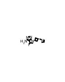 Nc1ncnc2c1C(I)CN2[C@H]1C[C@@H](CN2CCC2)C1